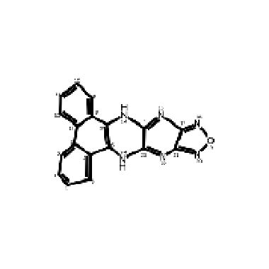 c1ccc2c(c1)c1c(c3ccccc32)Nc2nc3nonc3nc2N1